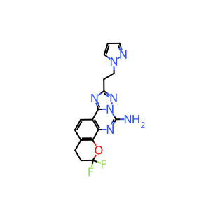 Nc1nc2c3c(ccc2c2nc(CCn4cccn4)nn12)CCC(F)(F)O3